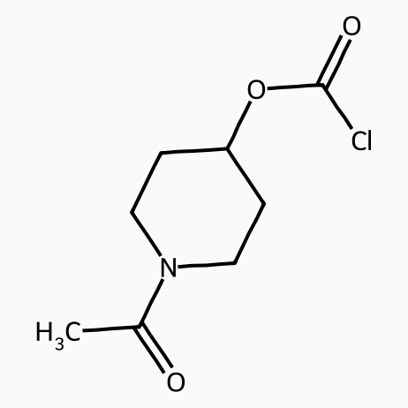 CC(=O)N1CCC(OC(=O)Cl)CC1